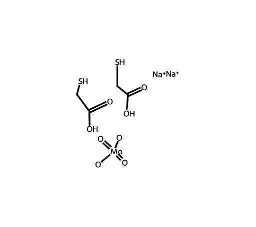 O=C(O)CS.O=C(O)CS.[Na+].[Na+].[O]=[Mo](=[O])([O-])[O-]